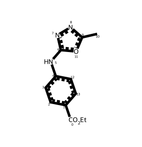 CCOC(=O)c1ccc(Nc2nnc(C)o2)cc1